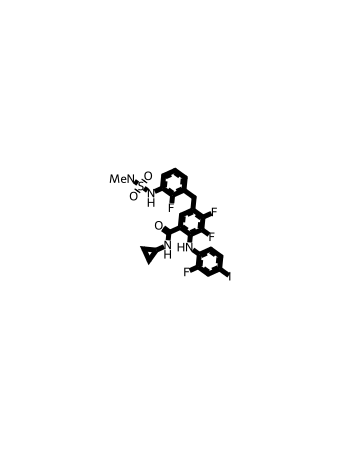 CNS(=O)(=O)Nc1cccc(Cc2cc(C(=O)NC3CC3)c(Nc3ccc(I)cc3F)c(F)c2F)c1F